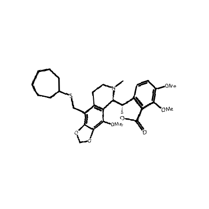 COc1ccc2c(c1OC)C(=O)O[C@@H]2[C@H]1c2c(c(CSC3CCCCCC3)c3c(c2OC)OCO3)CCN1C